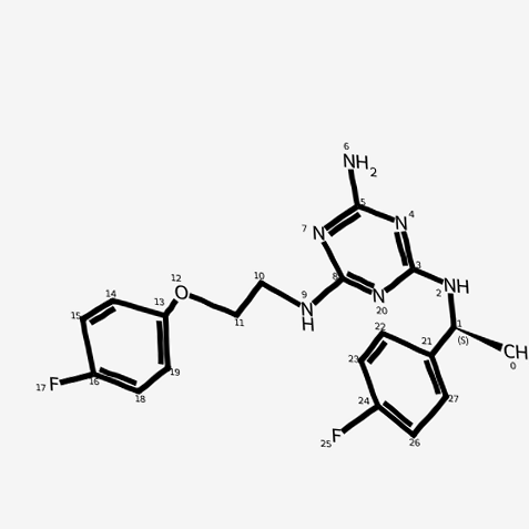 C[C@H](Nc1nc(N)nc(NCCOc2ccc(F)cc2)n1)c1ccc(F)cc1